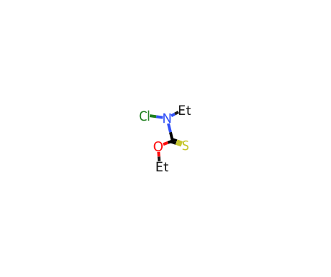 CCOC(=S)N(Cl)CC